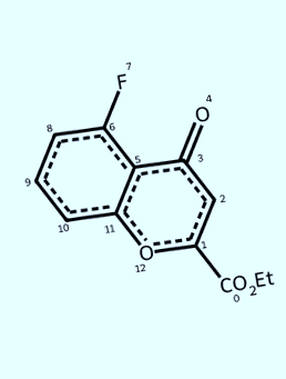 CCOC(=O)c1cc(=O)c2c(F)cccc2o1